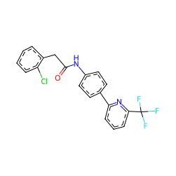 O=C(Cc1ccccc1Cl)Nc1ccc(-c2cccc(C(F)(F)F)n2)cc1